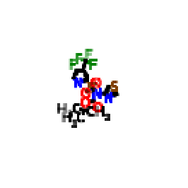 CC(C)(C)OC(=O)N(c1cscn1)S(=O)(=O)c1cc(C(F)(F)F)c(F)cn1